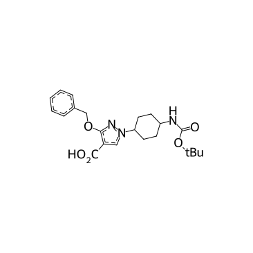 CC(C)(C)OC(=O)NC1CCC(n2cc(C(=O)O)c(OCc3ccccc3)n2)CC1